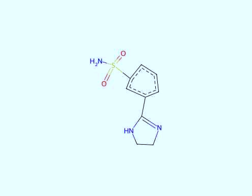 NS(=O)(=O)c1cccc(C2=NCCN2)c1